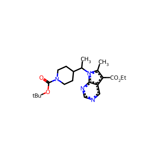 CCOC(=O)c1c(C)n(C(C)C2CCN(C(=O)OC(C)(C)C)CC2)c2ncncc12